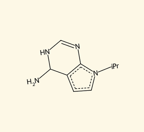 CC(C)n1ccc2c1N=CNC2N